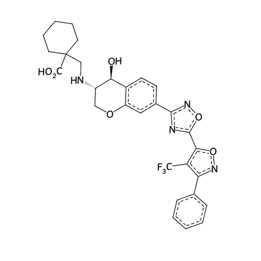 O=C(O)C1(CN[C@H]2COc3cc(-c4noc(-c5onc(-c6ccccc6)c5C(F)(F)F)n4)ccc3[C@@H]2O)CCCCC1